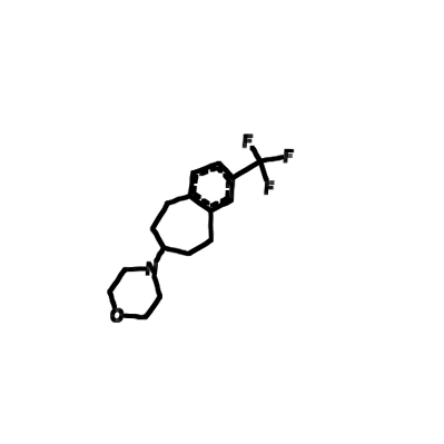 FC(F)(F)c1ccc2c(c1)CCC(N1CCOCC1)CC2